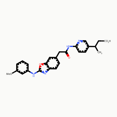 COc1cccc(Nc2nc3ccc(CC(=O)Nc4ccc(C(C)CC(=O)O)cn4)cc3o2)c1